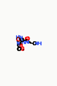 COc1cccc(CN(C)C(=O)c2cc(C(=O)NCCC3CCNCC3)c[nH]c2=O)c1